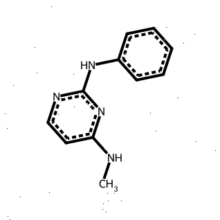 CNc1ccnc(Nc2ccccc2)n1